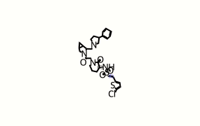 O=C1[C@@H](NS(=O)(=O)/C=C/c2ccc(Cl)s2)CCCN1CC(=O)N1CC2CC2C1CN1CCC(c2ccccc2)C1